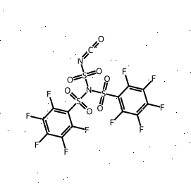 O=C=NS(=O)(=O)N(S(=O)(=O)c1c(F)c(F)c(F)c(F)c1F)S(=O)(=O)c1c(F)c(F)c(F)c(F)c1F